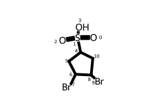 O=S(=O)(O)C1CC(Br)C(Br)C1